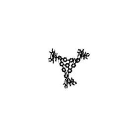 CCC(CC)(CC)c1nc(-c2ccc(-c3ccc(-c4ccccc4-c4cc(-c5ccccc5-c5ccc(-c6ccc(-c7nc(C(CC)(CC)CC)nc(C(CC)(CC)CC)n7)cn6)cc5)cc(-c5ccccc5-c5ccc(-c6ccc(-c7nc(C(CC)(CC)CC)nc(C(CC)(CC)CC)n7)cn6)cc5)c4)cc3)nc2)nc(C(CC)(CC)CC)n1